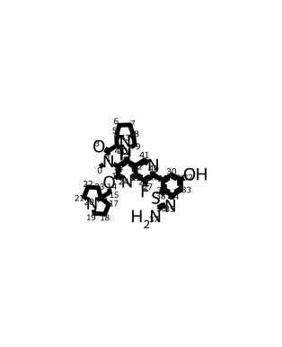 CN1C(=O)C2C3CCC(CN2c2c1c(OCC14CCCN1CCC4)nc1c(F)c(-c4cc(O)cc5nc(N)sc45)ncc21)N3